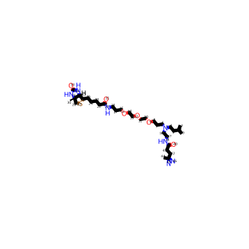 CC(C)CCN(CCCOCCOCCOCCCNC(=O)CCCCC1SC[C@]2(C)NC(=O)N[C@H]12)CCNC(=O)CCC1(C)N=N1